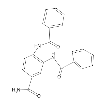 NC(=O)c1ccc(NC(=O)c2ccccc2)c(NC(=O)c2ccccc2)c1